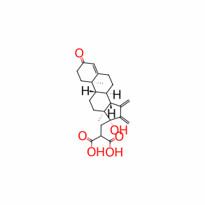 C=C1C(=C)[C@@](O)(CC(C(=O)O)C(=O)O)[C@@]2(C)CC[C@H]3[C@@H](CCC4=CC(=O)CC[C@@]43C)[C@H]12